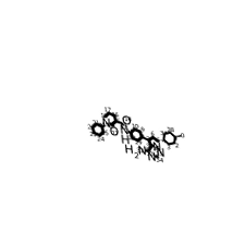 C[C@H]1CC[C@H](c2cc(-c3ccc(NC(=O)c4cccn(-c5ccccc5)c4=O)cc3)c3c(N)ncnn32)CC1